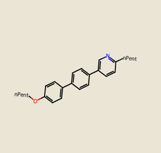 CCCCCOc1ccc(-c2ccc(-c3ccc(CCCCC)nc3)cc2)cc1